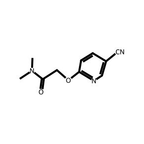 CN(C)C(=O)COc1ccc(C#N)cn1